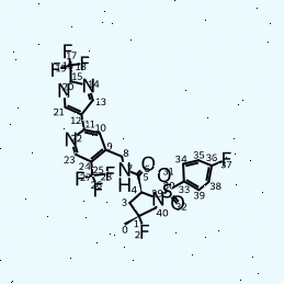 C[C@@]1(F)C[C@@H](C(=O)NCc2cc(-c3cnc(C(F)(F)F)nc3)ncc2C(F)(F)F)N(S(=O)(=O)c2ccc(F)cc2)C1